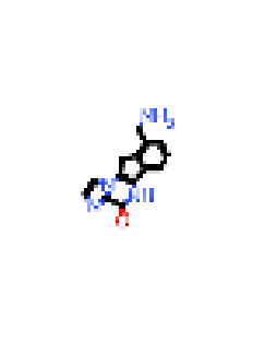 NCc1cccc2c1Cc1c-2[nH]c(=O)c2nccn12